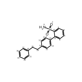 NS(=O)(=O)c1ccccc1-c1ccc(CCc2ccccc2)cc1